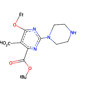 CCOc1nc(N2CCNCC2)nc(C(=O)OC(C)(C)C)c1C(=O)O